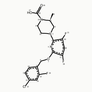 C[C@H]1CN(c2nc(OCc3ccc(Cl)cc3F)c(F)cc2F)CCN1C(=O)O